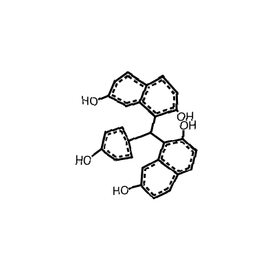 Oc1ccc(C(c2c(O)ccc3ccc(O)cc23)c2c(O)ccc3ccc(O)cc23)cc1